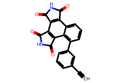 C#Cc1cccc(-c2cccc3c2c2c(=O)[nH]c(=O)c2c2c(=O)[nH]c(=O)c32)c1